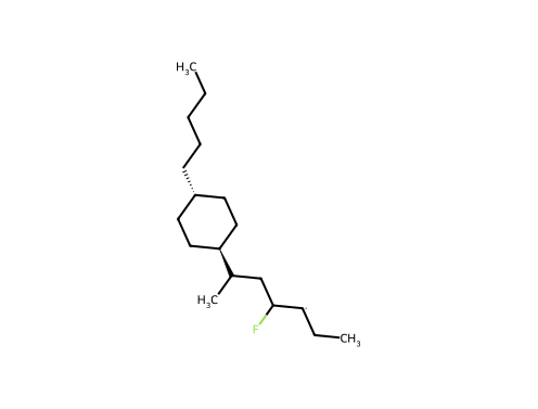 CC[CH]C(F)CC(C)[C@H]1CC[C@H](CCCCC)CC1